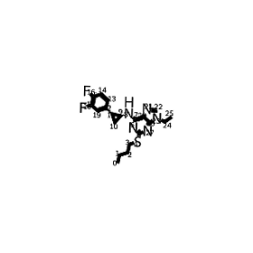 CCCCSc1nc(N[C@@H]2C[C@H]2c2ccc(F)c(F)c2)c2ncn(CC)c2n1